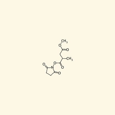 COC(=O)CC(C)C(=O)ON1C(=O)CCC1=O